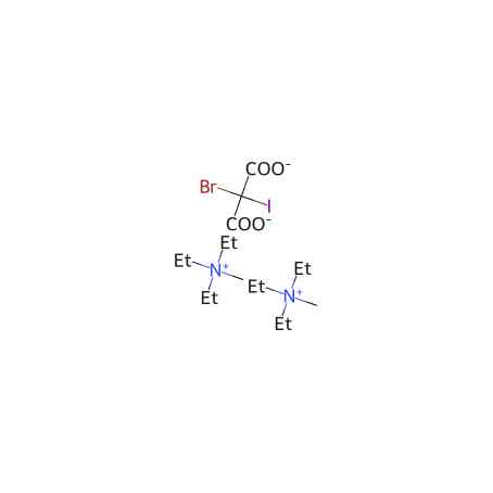 CC[N+](C)(CC)CC.CC[N+](C)(CC)CC.O=C([O-])C(Br)(I)C(=O)[O-]